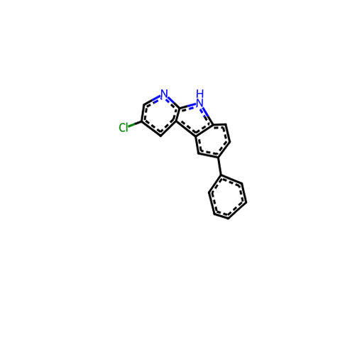 Clc1cnc2[nH]c3ccc(-c4ccccc4)cc3c2c1